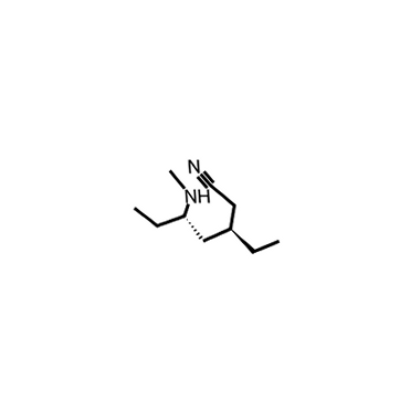 CC[C@H](CC#N)C[C@H](CC)NC